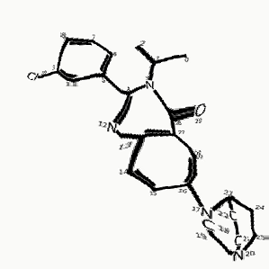 CC(C)n1c(-c2cccc(Cl)c2)nc2ccc(N3CCN4CCC3CC4)cc2c1=O